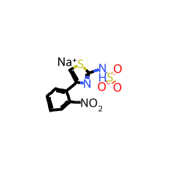 O=[N+]([O-])c1ccccc1-c1csc(NS(=O)(=O)[O-])n1.[Na+]